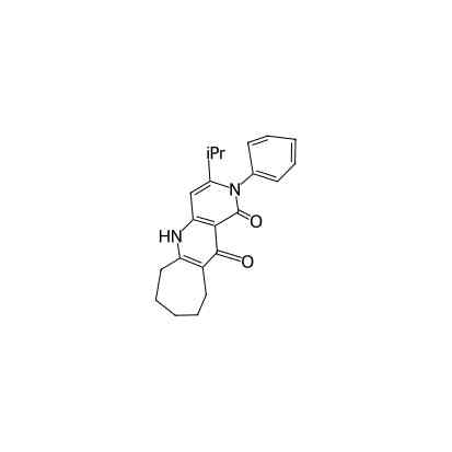 CC(C)c1cc2[nH]c3c(c(=O)c2c(=O)n1-c1ccccc1)CCCCC3